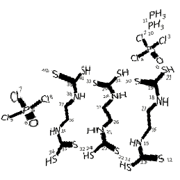 O=P(Cl)(Cl)Cl.O=P(Cl)(Cl)Cl.P.P.S=C(S)NCCNC(=S)S.S=C(S)NCCNC(=S)S.S=C(S)NCCNC(=S)S